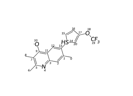 Cc1cc2nc(C)c(C)c([O])c2cc1[SH]1C=CC(OC(F)(F)F)=C1